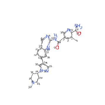 Cc1cc(C(=O)Nc2ncc3ccc(-c4cnn(C5CCN(C)CC5)c4)cc3n2)cnc1C(N)=O